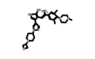 Cc1cc(/C(N)=C/c2c(-c3cnn(C4CCN(C5COC5)CC4)c3)c[nH]c2N)cc(C)c1N1CCN(C)CC1